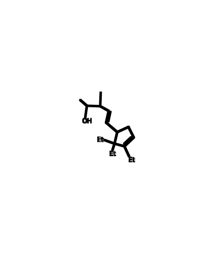 CCC1=CCC(C=CC(C)C(C)O)C1(CC)CC